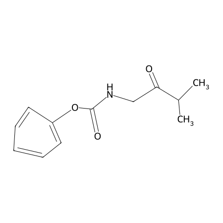 CC(C)C(=O)CNC(=O)Oc1ccccc1